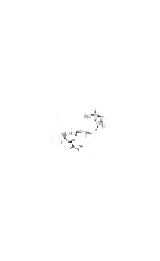 CCCCNc1cc(C(=O)OCC(=O)OCC(=O)O[C@@H](C)C(=O)O[C@@H](C)C(=O)O[C@@H](C)C(=O)O[C@@H](C)C(=O)OCC)cc(S(N)(=O)=O)c1Oc1ccccc1